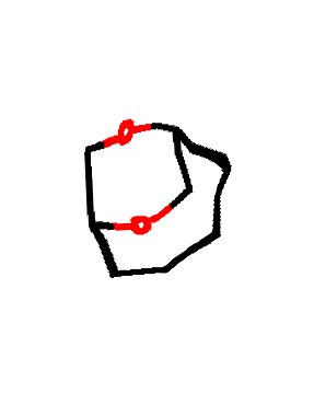 C1CCC2COC(C1)CO2